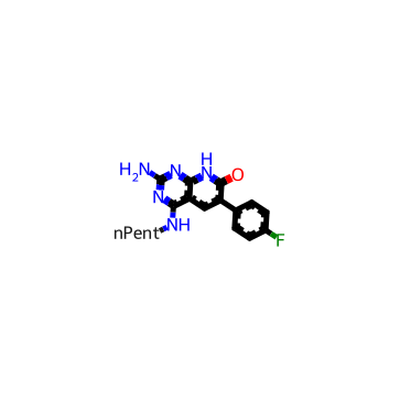 CCCCCNc1nc(N)nc2[nH]c(=O)c(-c3ccc(F)cc3)cc12